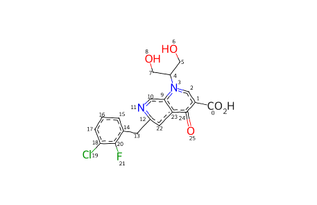 O=C(O)c1cn(C(CO)CO)c2cnc(Cc3cccc(Cl)c3F)cc2c1=O